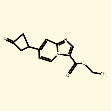 CCOC(=O)c1cnc2cc(C3CC(=O)C3)ccn12